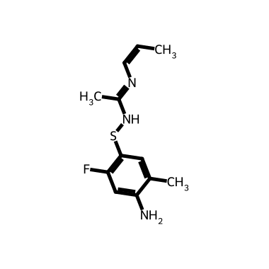 C/C=C\N=C(/C)NSc1cc(C)c(N)cc1F